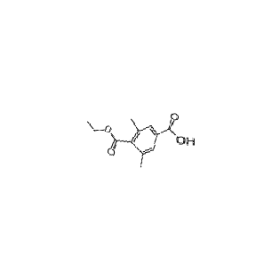 CCOC(=O)c1c(C)cc(C(=O)O)cc1C